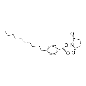 CCCCCCCCCCc1ccc(C(=O)ON2C(=O)CCC2=O)cc1